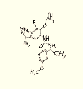 CCOc1c(NC(=O)N[C@@H](C)c2cccc(OC)c2)cc2c(N)n[nH]c2c1F